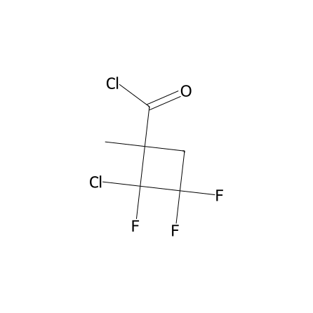 CC1(C(=O)Cl)CC(F)(F)C1(F)Cl